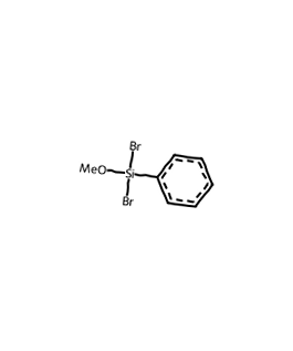 CO[Si](Br)(Br)c1ccccc1